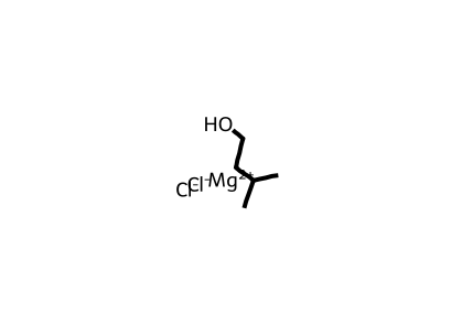 CC(C)CCO.[Cl-].[Cl-].[Mg+2]